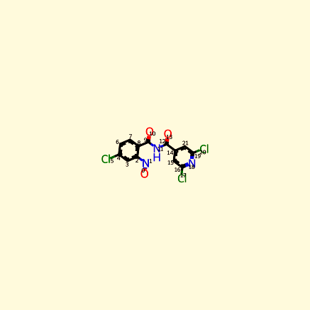 O=Nc1cc(Cl)ccc1C(=O)NC(=O)c1cc(Cl)nc(Cl)c1